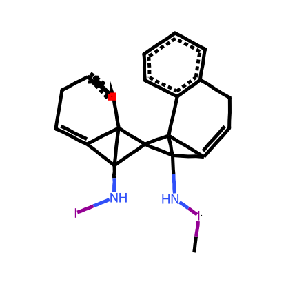 C[I]NC12C3=CCc4ccccc4C31C21C2(NI)C3=CCc4ccccc4C321